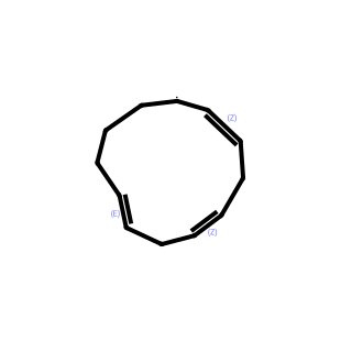 [CH]1/C=C\C/C=C\C/C=C/CCC1